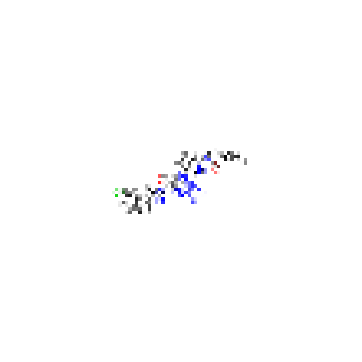 CC1CCN(c2cc3c(cn2)C(N(N)/C=C(\N)C(=O)NC2CC(c4cc(Cl)ccc4C#N)C2)CC3)C1=O